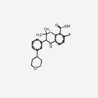 CC1(C)Cc2c(ccc(F)c2C(=O)O)NC1c1cccc(N2CCOCC2)c1